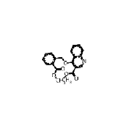 COC(=O)c1ccccc1COc1c(C(=O)OC)cnc2ccccc12